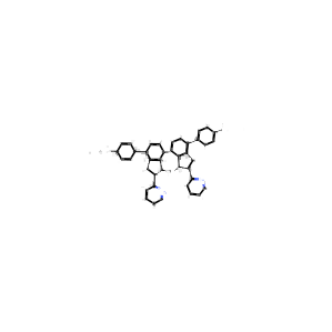 CCCCCCc1ccc(-c2cccc3c2C=C(c2ccccn2)[CH]3[Zr][CH]2C(c3ccccn3)=Cc3c(-c4ccc(CCCCCC)cc4)cccc32)cc1